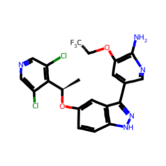 C[C@@H](Oc1ccc2[nH]nc(-c3cnc(N)c(OCC(F)(F)F)c3)c2c1)c1c(Cl)cncc1Cl